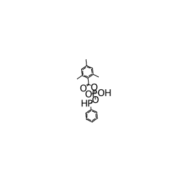 Cc1cc(C)c(C(=O)OP(=O)(O)OPc2ccccc2)c(C)c1